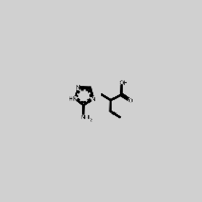 CCC(C)C(=O)O.Nc1ncn[nH]1